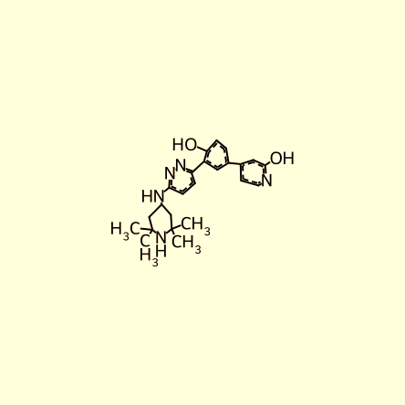 CC1(C)CC(Nc2ccc(-c3cc(-c4ccnc(O)c4)ccc3O)nn2)CC(C)(C)N1